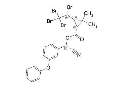 CC1(C)[C@@H]([C@@H](Br)C(Br)(Br)Br)[C@H]1C(=O)O[C@H](C#N)c1cccc(Oc2ccccc2)c1